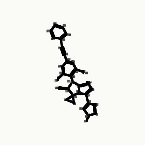 Cn1cnc(-c2cnc3n2C2(CC2)C(=O)N3c2c(F)cc(C#Cc3ccccc3)cc2I)c1